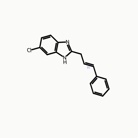 Clc1ccc2nc(C/C=C/c3ccccc3)[nH]c2c1